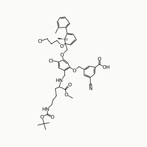 COC(=O)C(CCCCNC(=O)OC(C)(C)C)NCc1cc(Cl)c(OCC2(OCCCCl)C=CC=C(c3ccccc3C)[C@@H]2C)cc1OCc1cc(C#N)cc(C(=O)O)c1